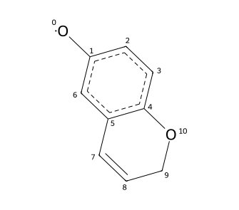 [O]c1ccc2c(c1)C=CCO2